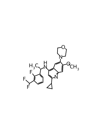 COc1cc2nc(C3CC3)cc(N[C@H](C)c3cccc(C(F)F)c3F)c2cc1N1CCOCC1